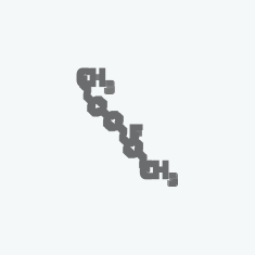 CCCCc1ccc(-c2ccc(CCc3ccc(CCC)cc3F)cc2)cc1